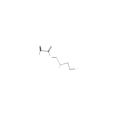 C=C(C)C(=O)OC[C@H](O)[C@H](O)CO